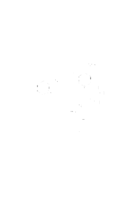 COc1ccc([C@@H]2CN(C(=O)[C@@H](O)CO)C[C@@]2(C)[C@@H](C)O)cc1OC1CN(c2ccc(CC(F)(F)F)cn2)C1